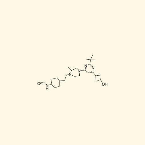 CC1CN(c2cc(C3CC(O)C3)nc(C(C)(C)C)n2)CCN1CCC1CCC(NC=O)CC1